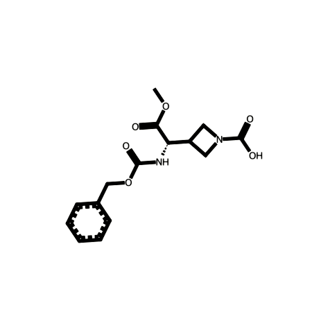 COC(=O)[C@@H](NC(=O)OCc1ccccc1)C1CN(C(=O)O)C1